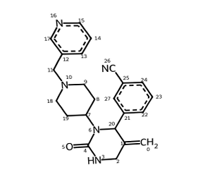 C=C1CNC(=O)N(C2CCN(Cc3cccnc3)CC2)C1c1cccc(C#N)c1